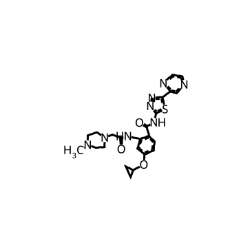 CN1CCN(CC(=O)Nc2cc(OC3CC3)ccc2C(=O)Nc2nnc(-c3cnccn3)s2)CC1